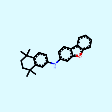 CC1(C)CCC(C)(C)c2cc(Nc3ccc4c(c3)oc3ccccc34)ccc21